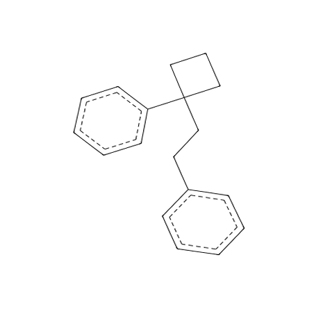 c1ccc(CCC2(c3ccccc3)CCC2)cc1